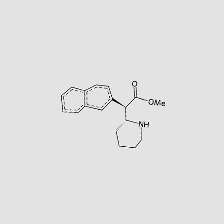 COC(=O)[C@H](c1ccc2ccccc2c1)[C@H]1CCCCN1